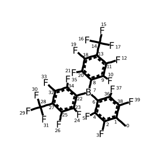 Cc1c(F)c(F)c(B(c2c(F)c(F)c(C(F)(F)F)c(F)c2F)c2c(F)c(F)c(C(F)(F)F)c(F)c2F)c(F)c1F